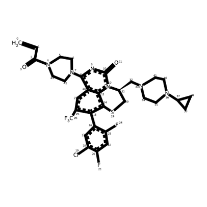 C=CC(=O)N1CCN(c2nc(=O)n3c4c(c(-c5cc(Cl)c(F)cc5F)c(C(F)(F)F)cc24)SC[C@@H]3CN2CCN(C3CC3)CC2)CC1